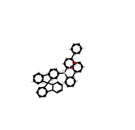 C1=CC2c3ccccc3C3(c4ccccc4-c4ccc(N(c5ccc(-c6ccccc6)cc5)c5ccccc5-c5ccccc5)cc43)C2C=C1